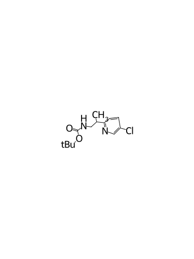 CC(CNC(=O)OC(C)(C)C)c1ccc(Cl)cn1